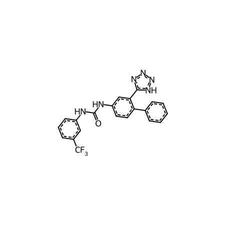 O=C(Nc1cccc(C(F)(F)F)c1)Nc1ccc(-c2ccccc2)c(-c2nnn[nH]2)c1